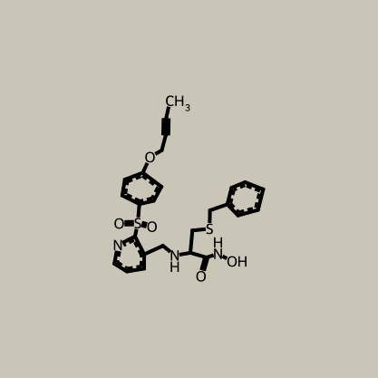 CC#CCOc1ccc(S(=O)(=O)c2ncccc2CNC(CSCc2ccccc2)C(=O)NO)cc1